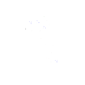 O=C(CSc1nc(C(F)(F)F)nc2ncccc12)c1ccc(CN2CCCC2=O)s1